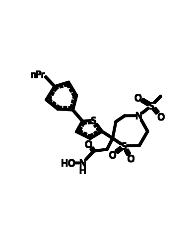 CCCc1ccc(-c2ccc(C3(CC(=O)NO)CCN(S(C)(=O)=O)CCS3(=O)=O)s2)cc1